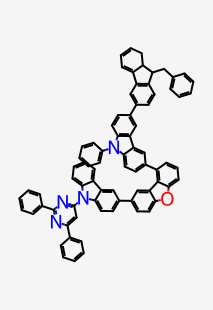 C1=CCC2C(=C1)c1cc(-c3ccc4c(c3)c3cc(-c5cccc6oc7ccc(-c8ccc9c(c8)c8ccccc8n9-c8cc(-c9ccccc9)nc(-c9ccccc9)n8)cc7c56)ccc3n4-c3ccccc3)ccc1C2Cc1ccccc1